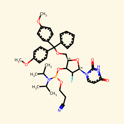 COc1ccc(C(OC[C@H]2O[C@@H](n3ccc(=O)[nH]c3=O)C(F)C2OP(OCCC#N)N(C(C)C)C(C)C)(c2ccccc2)c2ccc(OC)cc2)cc1